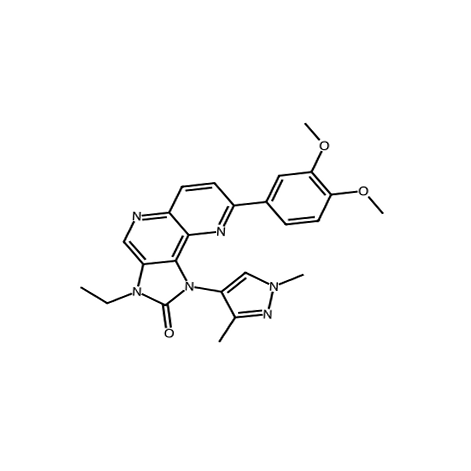 CCn1c(=O)n(-c2cn(C)nc2C)c2c3nc(-c4ccc(OC)c(OC)c4)ccc3ncc21